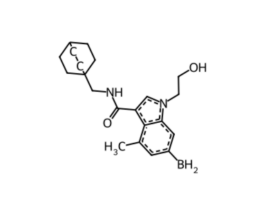 Bc1cc(C)c2c(C(=O)NCC34CCC(CC3)CC4)cn(CCO)c2c1